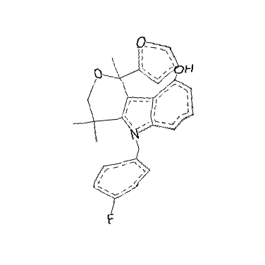 CC1(C)COC(C)(c2ccco2)c2c1n(-c1ccc(F)cc1)c1cccc(O)c21